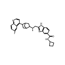 C[C@H](Cc1nc2cc(C(=O)NC3CCC3)ccc2[nH]1)C1CC2CC1CC2c1ccnc2ccc(F)cc12